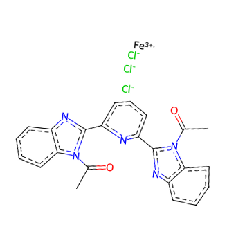 CC(=O)n1c(-c2cccc(-c3nc4ccccc4n3C(C)=O)n2)nc2ccccc21.[Cl-].[Cl-].[Cl-].[Fe+3]